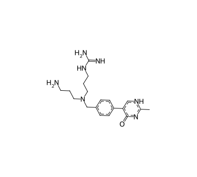 Cc1nc(=O)c(-c2ccc(CN(CCCN)CCCNC(=N)N)cc2)c[nH]1